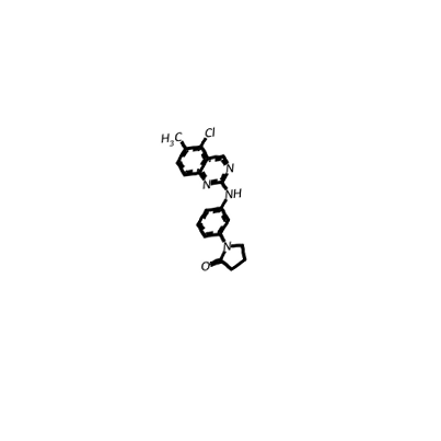 Cc1ccc2nc(Nc3cccc(N4CCCC4=O)c3)ncc2c1Cl